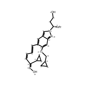 CCC[C@H](CCO)n1cc2cc(/C=C/C=C\C(=N\O)C3CC3)c(OCC3CC3)cc2n1